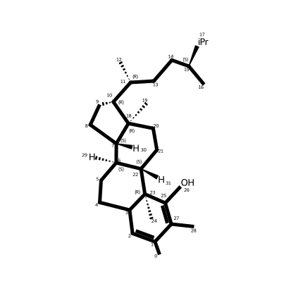 CC1=CC2CC[C@H]3[C@@H]4CC[C@H]([C@H](C)CC[C@H](C)C(C)C)[C@@]4(C)CC[C@@H]3[C@@]2(C)C(O)=C1C